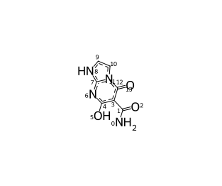 NC(=O)c1c(O)nc2[nH]ccn2c1=O